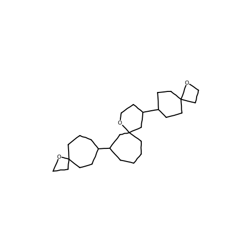 C1CCC2(CC(C3CCCC4(CCO4)CC3)C1)CC(C1CCC3(CCO3)CC1)CCO2